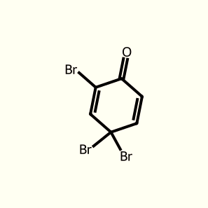 O=C1C=CC(Br)(Br)C=C1Br